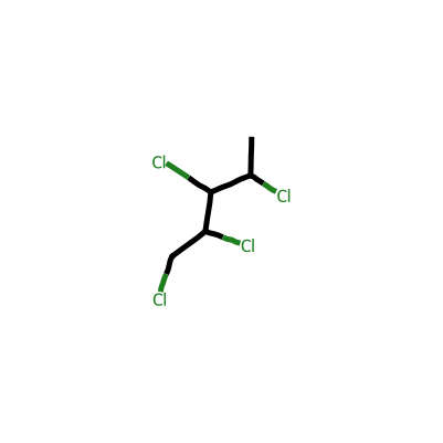 CC(Cl)C(Cl)C(Cl)CCl